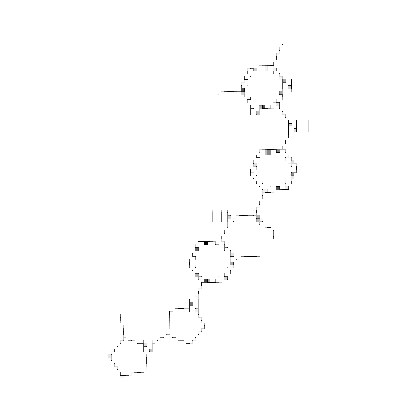 Cc1cc(C)nc(Nc2ccc(C(=O)Nc3ccc(N4CCC(N5CCCC5C)C4)cc3C)cc2)n1